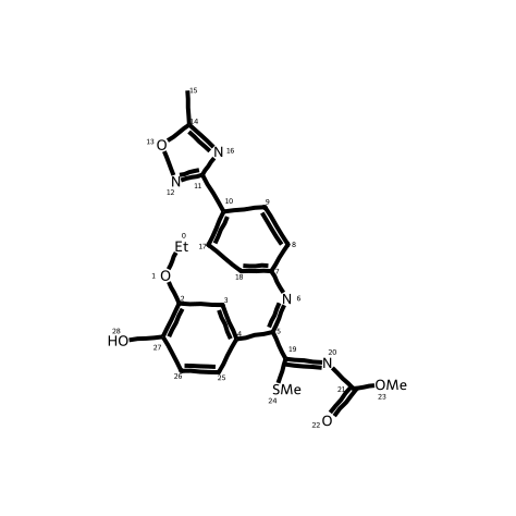 CCOc1cc(C(=N\c2ccc(-c3noc(C)n3)cc2)/C(=N/C(=O)OC)SC)ccc1O